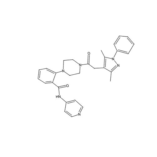 Cc1nn(-c2ccccc2)c(C)c1CC(=O)N1CCN(c2ccccc2C(=O)Nc2ccncc2)CC1